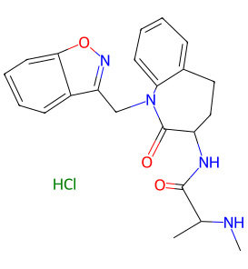 CNC(C)C(=O)NC1CCc2ccccc2N(Cc2noc3ccccc23)C1=O.Cl